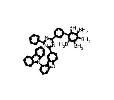 Bc1c(B)c(B)c(-c2cccc(-c3nc(-c4ccccc4)nc(-c4ccc5oc6cccc(-n7c8ccccc8c8ccccc87)c6c5c4)n3)c2)c(B)c1B